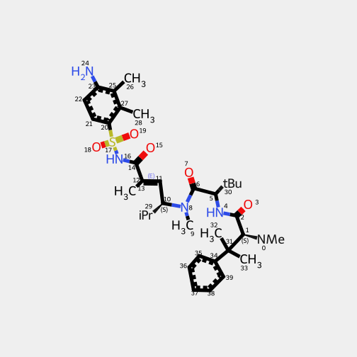 CN[C@H](C(=O)NC(C(=O)N(C)[C@H](/C=C(\C)C(=O)NS(=O)(=O)c1ccc(N)c(C)c1C)C(C)C)C(C)(C)C)C(C)(C)c1ccccc1